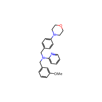 COc1cccc(CN(Cc2ccc(N3CCOCC3)cc2)c2ccccn2)c1